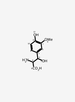 COc1cc(C(O)C(N)C(=O)O)ccc1O